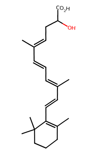 CC(C=CC1=C(C)CCCC1(C)C)=CC=CC(C)=CCC(O)C(=O)O